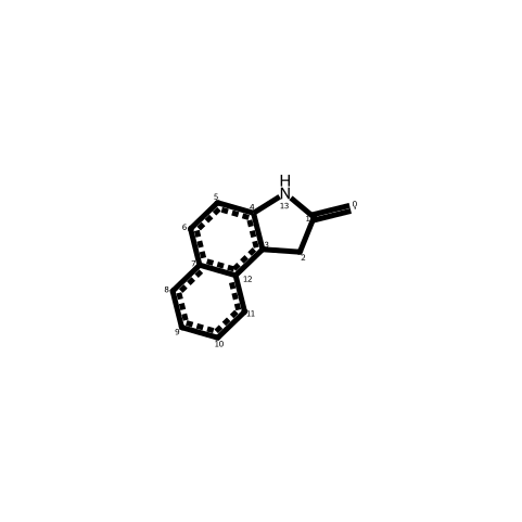 [CH]=C1Cc2c(ccc3ccccc23)N1